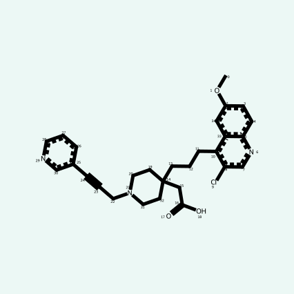 COc1ccc2ncc(Cl)c(CCCC3(CC(=O)O)CCN(CC#Cc4cccnc4)CC3)c2c1